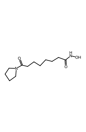 O=C(CCCCCCC(=O)N1CCCC1)NO